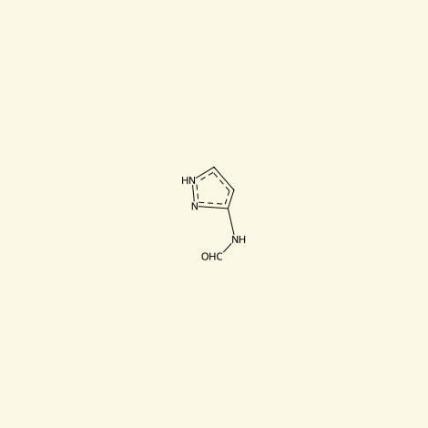 O=CNc1cc[nH]n1